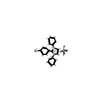 Brc1ccc(C2N(c3ccccc3)C=C[NH+]2c2ccccc2)cc1.F[B-](F)(F)F